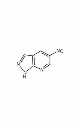 O=Nc1cnc2[nH]ncc2c1